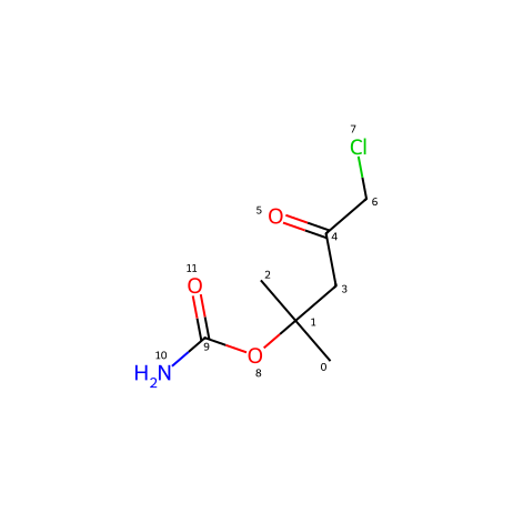 CC(C)(CC(=O)CCl)OC(N)=O